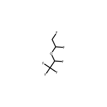 FCC(F)OC(F)C(F)(F)F